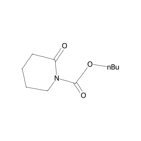 CCCCOC(=O)N1CCCCC1=O